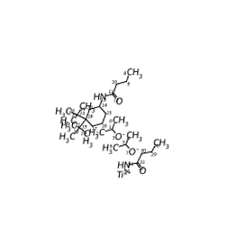 CC(C)[O-].CC(C)[O-].CCCC(=O)NC1CCCC(C(C)(C)C)(C(C)(C)C)C1.CCCC(=O)[NH][Ti+2]